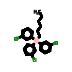 CCCCCC[B-](c1cccc(Cl)c1)(c1cccc(Cl)c1)c1cccc(Cl)c1